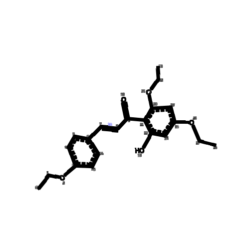 CCOc1ccc(/C=C/C(=O)c2c(O)cc(OCC)cc2OCC)cc1